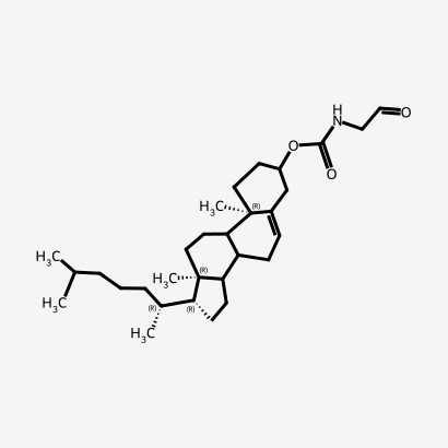 CC(C)CCC[C@@H](C)[C@H]1CCC2C3CC=C4CC(OC(=O)NCC=O)CC[C@]4(C)C3CC[C@@]21C